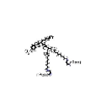 CCCCC/C=C\C/C=C\CCCCCCCC(=O)OCC(COC(=O)CCCCCCC/C=C\C/C=C\CCCCC)OC(=O)CCC(CCCCC(C)C)OC(=O)Oc1ccc([N+](=O)[O-])cc1